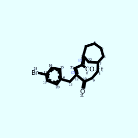 CCOC(=O)C1=C2/CCCCC(CCC(=O)/C(Cc3ccc(Br)cc3)=C\1)C2